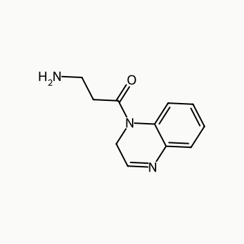 NCCC(=O)N1CC=Nc2ccccc21